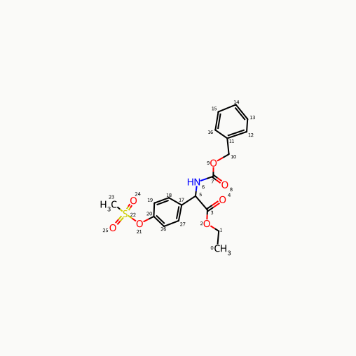 CCOC(=O)C(NC(=O)OCc1ccccc1)c1ccc(OS(C)(=O)=O)cc1